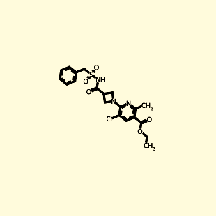 CCOC(=O)c1cc(Cl)c(N2CC(C(=O)NS(=O)(=O)Cc3ccccc3)C2)nc1C